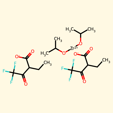 CC(C)[O][Zr+2][O]C(C)C.CCC(C(=O)[O-])C(=O)C(F)(F)F.CCC(C(=O)[O-])C(=O)C(F)(F)F